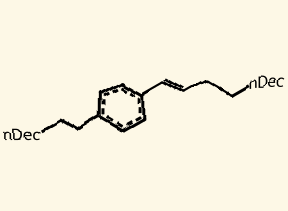 CCCCCCCCCCCCC=Cc1ccc(CCCCCCCCCCCC)cc1